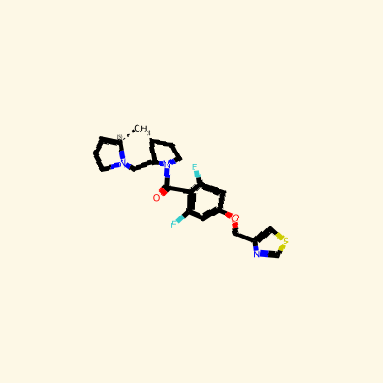 C[C@H]1CCCN1CC1CCCN1C(=O)c1c(F)cc(OCc2cscn2)cc1F